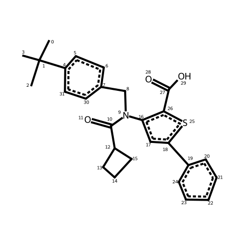 CC(C)(C)c1ccc(CN(C(=O)C2CCC2)c2cc(-c3ccccc3)sc2C(=O)O)cc1